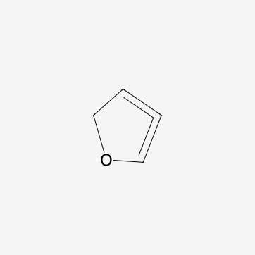 C1=CCOC=1